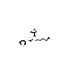 CCC(=O)CCCCC[C@H](NC(=O)c1cn[nH]c1)C(=O)Nc1cccnc1